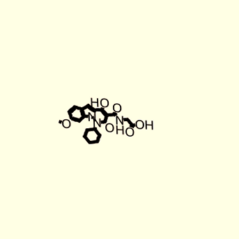 COc1ccc2cc3c(O)c(C(=O)NCC(=O)O)c(=O)n(C4CCCCC4)n3c2c1